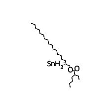 CCCCCCCCCCCCCCCCCCOC(=O)C(CC)CCCC.[SnH2]